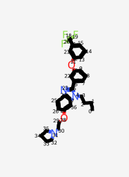 CCCCn1c(-c2cccc(Oc3cccc(C(F)(F)F)c3)c2)nc2ccc(OCCN3CCCC3)cc21